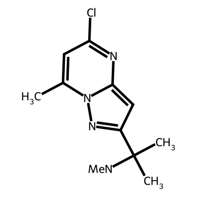 CNC(C)(C)c1cc2nc(Cl)cc(C)n2n1